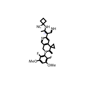 C=C1N(c2c(F)c(OC)cc(OC)c2F)Cc2cnc(/C(C=N)=C(\C)NC3(C#N)CCC3)cc2C12CC2